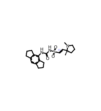 CN1CCC[C@]1(C)/C=C/S(=O)(=O)NC(=O)Nc1c2c(cc3c1CCC3)CCC2